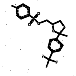 Cc1ccc(S(=O)(=O)OCC2CCC(C)(c3ccc(C(F)(F)F)cc3)O2)cc1